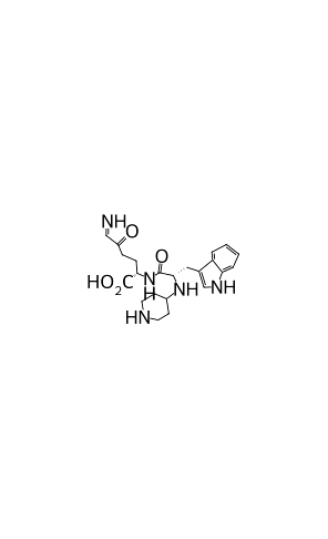 N=CC(=O)CC[C@H](NC(=O)[C@H](Cc1c[nH]c2ccccc12)NC1CCNCC1)C(=O)O